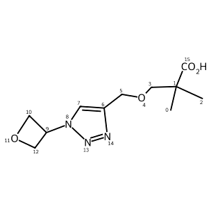 CC(C)(COCc1cn(C2COC2)nn1)C(=O)O